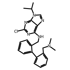 CC(C)n1cnc2c(NCc3ccccc3-c3ccccc3CN(C)C)nc(Cl)nc21